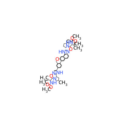 COC(=O)NC(C(=O)N1C[C@@H](C)CC1c1ncc(-c2ccc3c(c2)COc2cc4c(ccc5nc([C@@H]6CC[C@H](C)N6C(=O)[C@@H](NC(=O)OC)C(C)C)[nH]c54)cc2-3)[nH]1)C(C)C